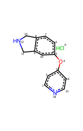 Cl.c1cc(Oc2ccc3c(c2)CNC3)ccn1